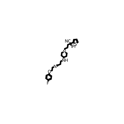 CC(C)C(C#N)(CCCN1CCC(NCCC#[N+]CCOc2ccc(F)cc2)CC1)c1cccs1